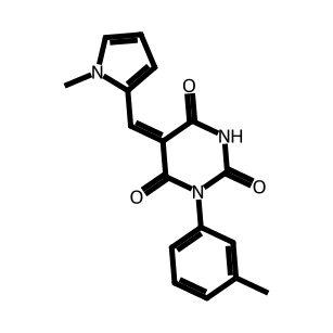 Cc1cccc(N2C(=O)NC(=O)/C(=C\c3cccn3C)C2=O)c1